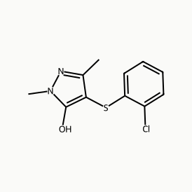 Cc1nn(C)c(O)c1Sc1ccccc1Cl